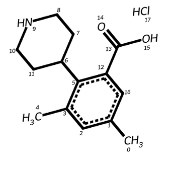 Cc1cc(C)c(C2CCNCC2)c(C(=O)O)c1.Cl